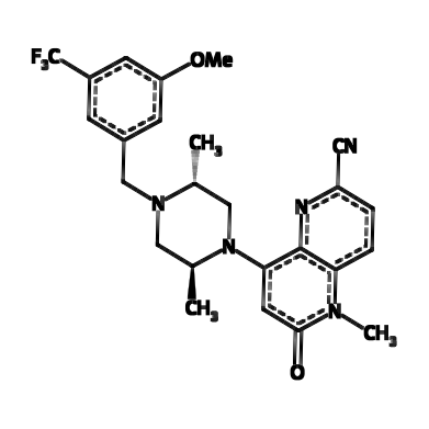 COc1cc(CN2C[C@H](C)N(c3cc(=O)n(C)c4ccc(C#N)nc34)C[C@H]2C)cc(C(F)(F)F)c1